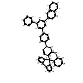 C1=CC(c2ccc(-c3cc(-c4ccc5ccccc5c4)nc(-c4ccccc4)n3)cc2)CC2=C1C1(c3ccccc3O2)c2ccccc2-c2ccccc21